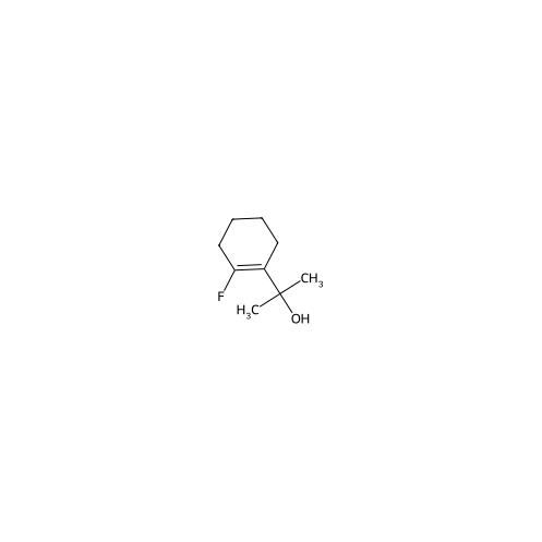 CC(C)(O)C1=C(F)CCCC1